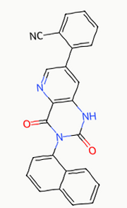 N#Cc1ccccc1-c1cnc2c(=O)n(-c3cccc4ccccc34)c(=O)[nH]c2c1